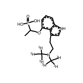 [2H]C([2H])([2H])N(CCc1c[nH]c2cccc(OC(C)P(=O)(O)O)c12)C([2H])([2H])[2H]